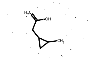 C=C(O)CC1CC1C